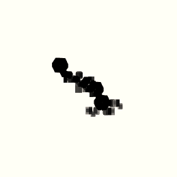 Cc1cc(-c2ccc3ncc(NC(=O)NCCc4ccccc4)nc3n2)cc(C)c1O